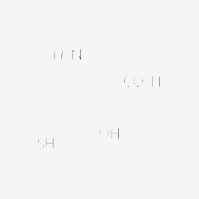 N[C@@](O)(CS)C(=O)O